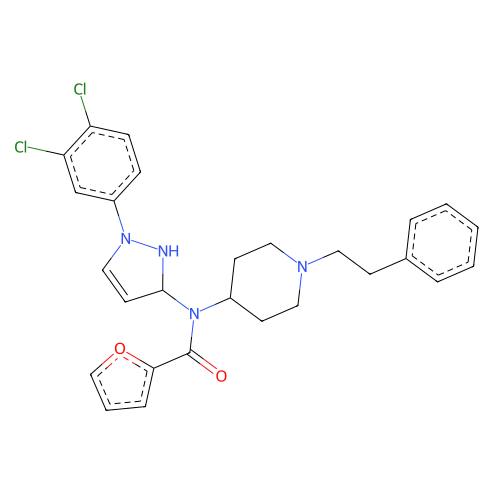 O=C(c1ccco1)N(C1CCN(CCc2ccccc2)CC1)C1C=CN(c2ccc(Cl)c(Cl)c2)N1